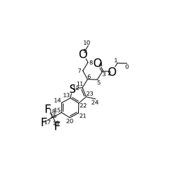 CCOC(=O)CC(CCOC)c1sc2cc(C(F)(F)F)ccc2c1C